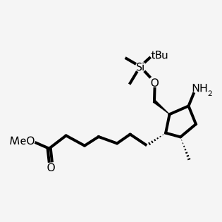 COC(=O)CCCCCC[C@H]1[C@@H](C)CC(N)[C@@H]1CO[Si](C)(C)C(C)(C)C